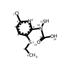 CCSc1ccc(Cl)nc1N(S)C(=O)O